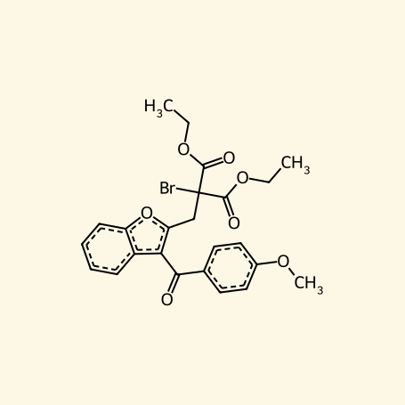 CCOC(=O)C(Br)(Cc1oc2ccccc2c1C(=O)c1ccc(OC)cc1)C(=O)OCC